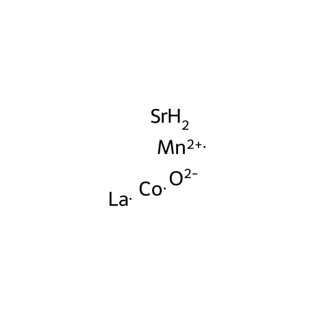 [Co].[La].[Mn+2].[O-2].[SrH2]